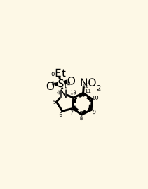 CCS(=O)(=O)N1CCc2cccc([N+](=O)[O-])c21